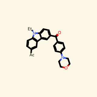 CCn1c2ccc(C(C)=O)cc2c2cc(C(=O)c3ccc(N4CCOCC4)cc3)ccc21